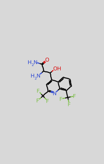 NC(=O)C(N)C(O)c1cc(C(F)(F)F)nc2c(C(F)(F)F)cccc12